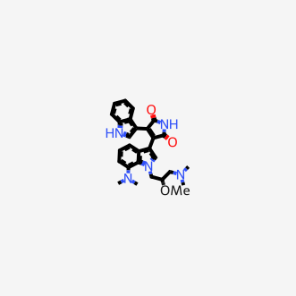 COC(CN(C)C)Cn1cc(C2=C(c3c[nH]c4ccccc34)C(=O)NC2=O)c2cccc(N(C)C)c21